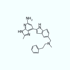 Cc1nc2c(-c3cc4cc(CN(C)CCc5ccccc5)ccc4[nH]3)cc(N)nc2[nH]1